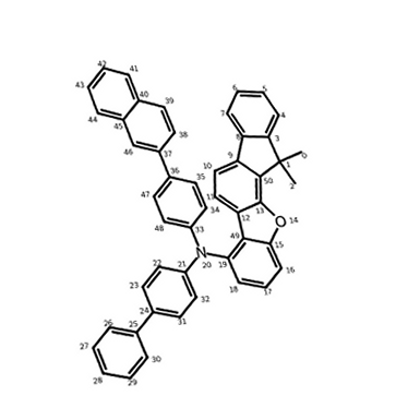 CC1(C)c2ccccc2-c2ccc3c(oc4cccc(N(c5ccc(-c6ccccc6)cc5)c5ccc(-c6ccc7ccccc7c6)cc5)c43)c21